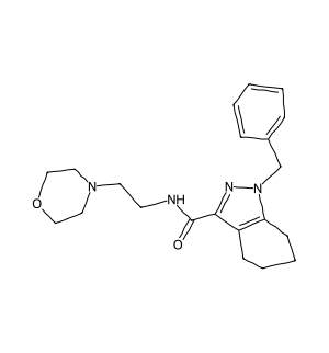 O=C(NCCN1CCOCC1)c1nn(Cc2ccccc2)c2c1CCCC2